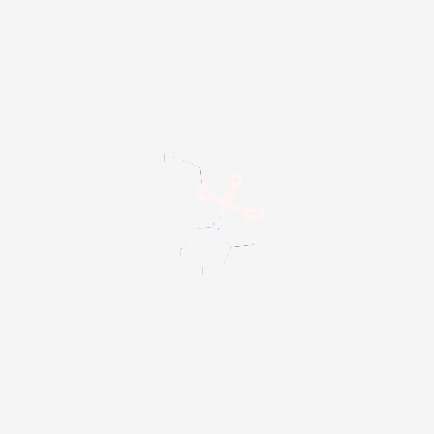 CCOP(=O)(O)N(SCl)C(C)C